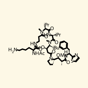 CC[C@H](C)[C@@H]([C@@H](CC(=O)N1CCC[C@H]1[C@H](OC)[C@@H](C)C(=O)N[C@@H](Cc1ccccc1)c1nccs1)OC)N(C)C(=O)[C@@H](NC(=O)[C@H](C(C)C)N(C)C(=O)CCNC(=O)C(CCCCN)NC(C)=O)C(C)C